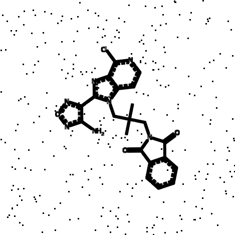 CC(C)(CN1C(=O)c2ccccc2C1=O)Cn1c(-c2nonc2N)nc2c(Cl)nccc21